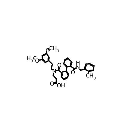 COc1cc(CCN(CCC(=O)O)C(=O)c2ccccc2-c2ccccc2C(=O)NCc2ccccc2C)cc(OC)c1